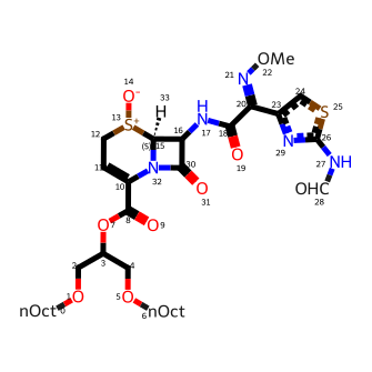 CCCCCCCCOCC(COCCCCCCCC)OC(=O)C1=CC[S+]([O-])[C@H]2C(NC(=O)C(=NOC)c3csc(NC=O)n3)C(=O)N12